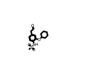 CS(=O)(=O)Nc1ccc(CC=O)cc1OC1CCCCC1